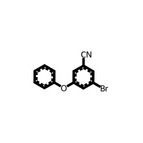 N#Cc1cc(Br)cc(Oc2ccccc2)c1